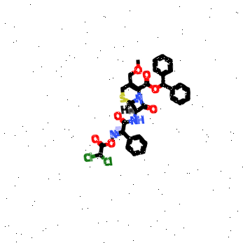 COCC1=C(C(=O)OC(c2ccccc2)c2ccccc2)N2C(=O)[C@@H](NC(=O)/C(=N/OC(=O)C(Cl)Cl)c3ccccc3)[C@H]2SC1